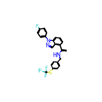 C=C(NCc1ccc(SC(F)(F)F)cc1)c1cccc2c1cnn2-c1ccc(F)cc1